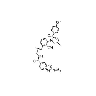 COc1ccc(S(=O)(=O)N(CC(C)C)c2cccc(C[C@@H](C)CNC(=O)c3ccc4nc(N)sc4c3)c2O)cc1